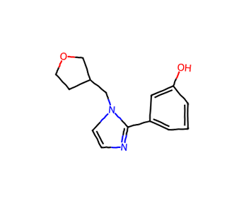 Oc1cccc(-c2nccn2CC2CCOC2)c1